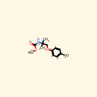 CC(C)(COc1ccc(N=O)cc1)NC(=O)OC(C)(C)C